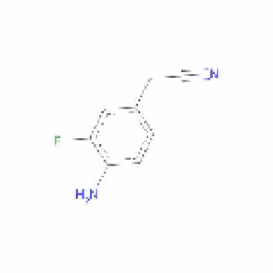 N#CCc1ccc(N)c(F)c1